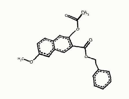 COc1ccc2cc(OC(C)=O)c(C(=O)OCc3ccccc3)cc2c1